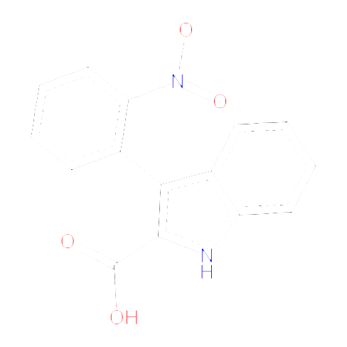 O=C(O)c1[nH]c2ccccc2c1-c1ccccc1[N+](=O)[O-]